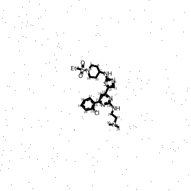 CCS(=O)(=O)N1CCC(Nc2ncc(-c3cc(-c4ccccc4Cl)nc(NCCN(C)C)n3)s2)CC1